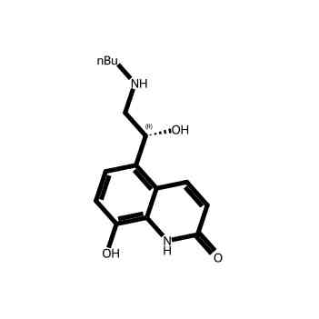 [CH2]CCCNC[C@H](O)c1ccc(O)c2[nH]c(=O)ccc12